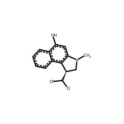 CN1C[C@@H](C(Cl)Cl)c2c1cc(O)c1ccccc21